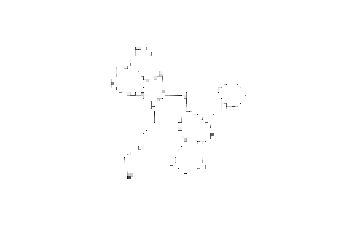 CC(C)(C)CNCCn1c(Sc2cc3c(cc2N2CCCC2)OCO3)nc2c(N)nccc21